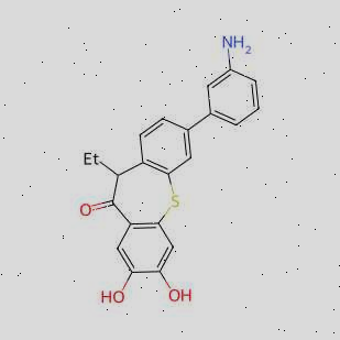 CCC1C(=O)c2cc(O)c(O)cc2Sc2cc(-c3cccc(N)c3)ccc21